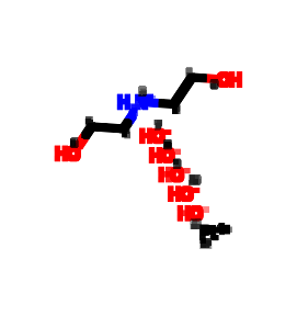 OCC[NH2+]CCO.[OH-].[OH-].[OH-].[OH-].[OH-].[Pt+4]